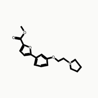 COC(=O)c1ccc(-c2cccc(OCCN3CCCC3)c2)o1